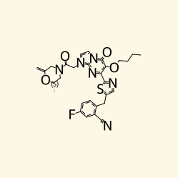 C=C1CN(C(=O)Cn2ccn3c(=O)c(OCCCC)c(-c4ncc(Cc5ccc(F)cc5C#N)s4)nc23)C[C@H](C)O1